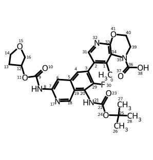 Cc1c(-c2cc3cc(NC(=O)OC4CCOC4)ncc3c(NC(=O)OC(C)(C)C)c2F)cnc2c1N(C(=O)O)CCO2